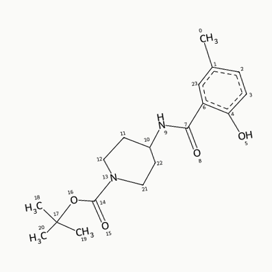 Cc1ccc(O)c(C(=O)NC2CCN(C(=O)OC(C)(C)C)CC2)c1